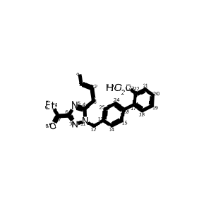 C/C=C/Cc1nc(C(=O)CC)nn1Cc1ccc(-c2ccccc2C(=O)O)cc1